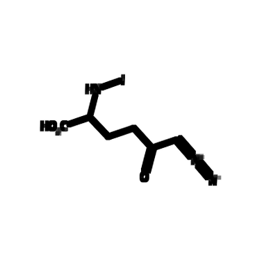 [N-]=[N+]=CC(=O)CCC(NI)C(=O)O